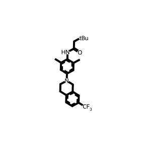 Cc1cc(N2CCc3ccc(C(F)(F)F)cc3C2)cc(C)c1NC(=O)CC(C)(C)C